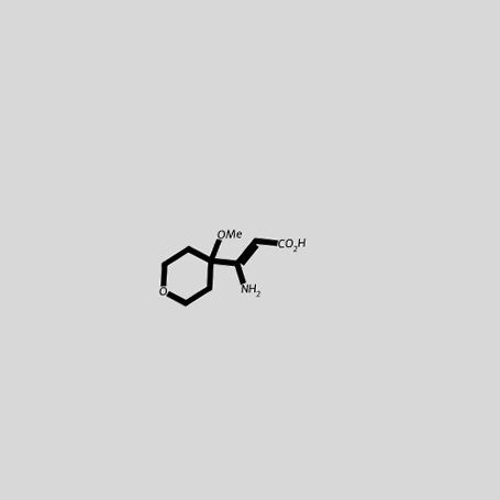 COC1(/C(N)=C/C(=O)O)CCOCC1